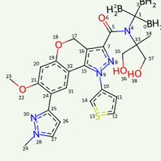 BC(B)(B)N(C(=O)c1nn(-c2ccsc2)c2c1COc1cc(OC)c(-c3ccn(C)n3)cc1-2)C(C)(CO)CO